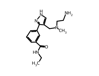 CCNC(=O)c1cccc(-c2n[nH]cc2CN(C)CCN)c1